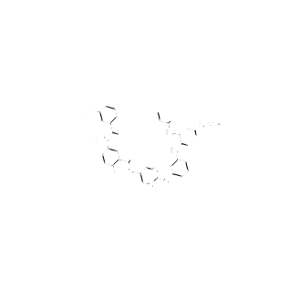 C=CC(=O)NC(CC(=O)NC)C(=O)Nc1cccc(Nc2ncc(NC(=O)c3cc(NC(=O)c4cccc(C(F)(F)F)c4)ccc3C)cn2)c1